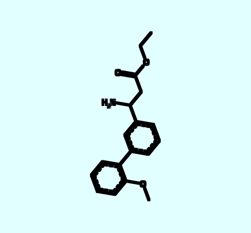 CCOC(=O)CC(N)c1cccc(-c2ccccc2OC)c1